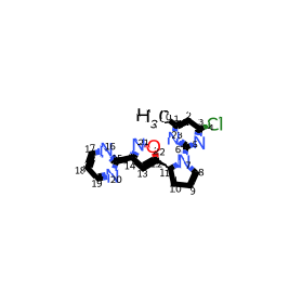 Cc1cc(Cl)nc(N2CCC[C@H]2c2cc(-c3ncccn3)no2)n1